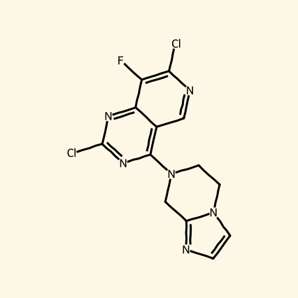 Fc1c(Cl)ncc2c(N3CCn4ccnc4C3)nc(Cl)nc12